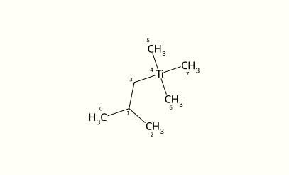 CC(C)[CH2][Ti]([CH3])([CH3])[CH3]